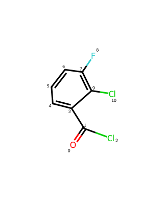 O=C(Cl)c1cccc(F)c1Cl